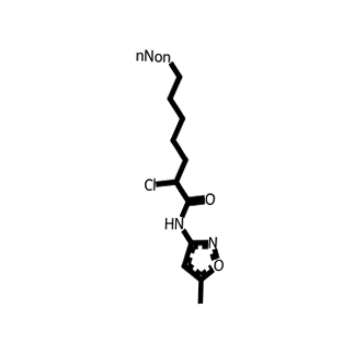 CCCCCCCCCCCCCCC(Cl)C(=O)Nc1cc(C)on1